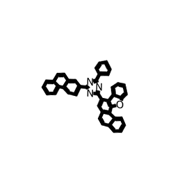 c1ccc(-c2nc(-c3ccc4c(ccc5ccccc54)c3)nc(-c3cc4ccc5ccccc5c4c4oc5ccccc5c34)n2)cc1